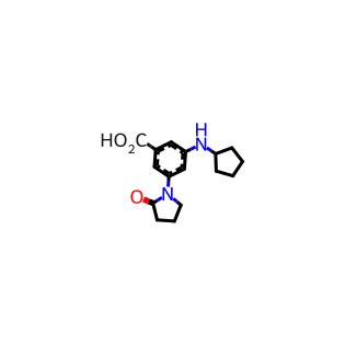 O=C(O)c1cc(NC2CCCC2)cc(N2CCCC2=O)c1